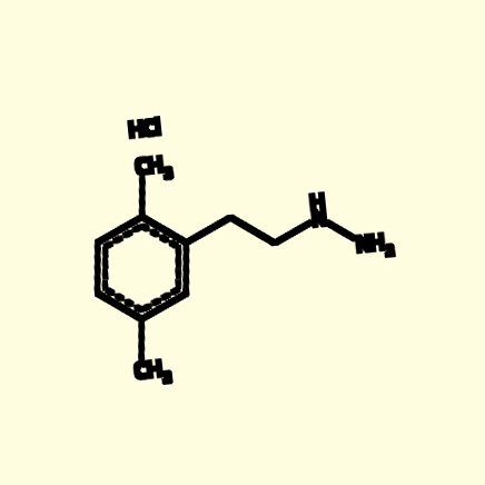 Cc1ccc(C)c(CCNN)c1.Cl